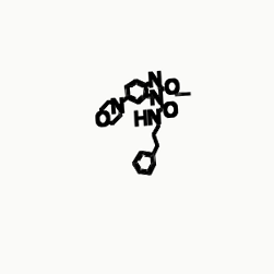 CCOc1nc2ccc(N3CCOCC3)cc2n1C(=O)NCCCc1ccccc1